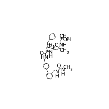 CNC(=O)NCc1ccccc1-c1ccc(CNC(=O)[C@@H](COCc2ccccc2)NC(=O)CC(C)(C)NC[C@@H](C)O)cc1